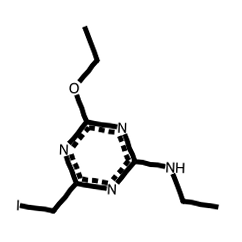 CCNc1nc(CI)nc(OCC)n1